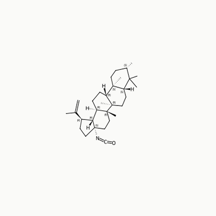 C=C(C)[C@@H]1CC[C@]2(N=C=O)CC[C@]3(C)[C@H](CC[C@@H]4[C@@]5(C)CC[C@H](C)C(C)(C)[C@@H]5CC[C@]43C)[C@@H]12